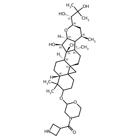 C[C@@H]1C[C@H]([C@H](O)C(C)(C)O)O[C@H]2C1[C@@]1(C)CC[C@@]34CC35CCC(OC3CN(C(=O)C6CNC6)CCO3)C(C)(C)[C@@H]5CC[C@H]4[C@]1(C)[C@H]2O